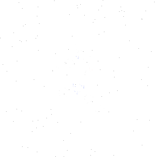 C1=c2oc3ccc4c5ccccc5n(-c5ccc(-c6ccccc6)cc5)c4c3c2=CCC1c1nc(-c2ccccc2)nc(-c2ccc(-c3ccccc3)cc2)n1